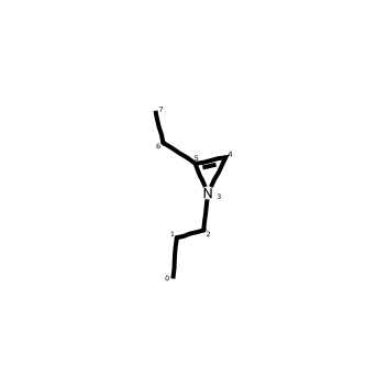 CCCN1C=C1CC